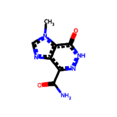 Cn1cnc2c(C(N)=O)n[nH]c(=O)c21